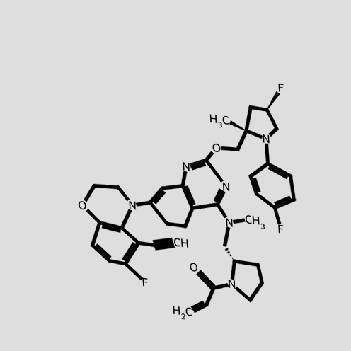 C#Cc1c(F)ccc2c1N(C1=Cc3nc(OC[C@]4(C)C[C@@H](F)CN4c4ccc(F)cc4)nc(N(C)C[C@@H]4CCCN4C(=O)C=C)c3CC1)CCO2